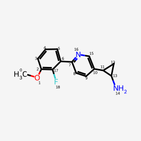 COc1cccc(-c2ccc(C3CC3N)cn2)c1F